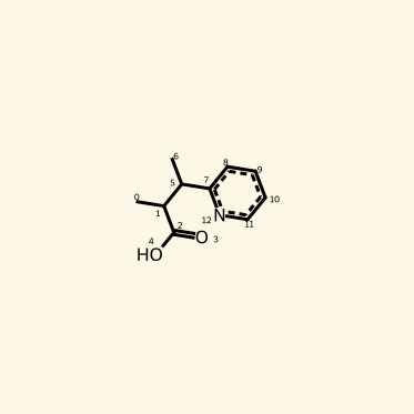 CC(C(=O)O)C(C)c1ccccn1